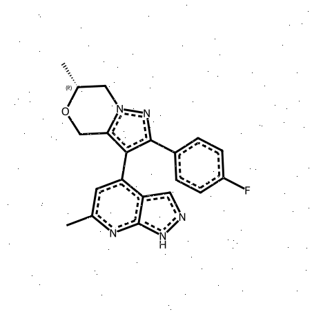 Cc1cc(-c2c(-c3ccc(F)cc3)nn3c2CO[C@H](C)C3)c2cn[nH]c2n1